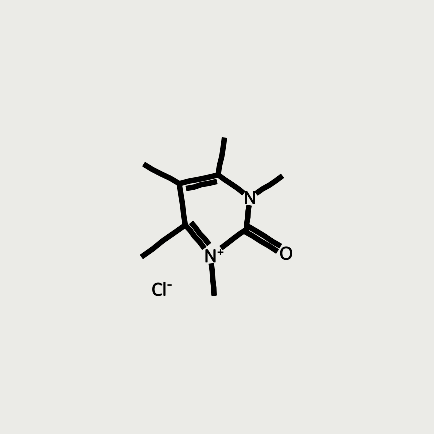 Cc1c(C)n(C)c(=O)[n+](C)c1C.[Cl-]